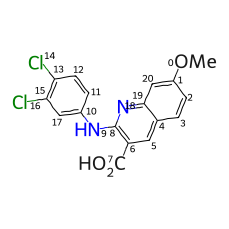 COc1ccc2cc(C(=O)O)c(Nc3ccc(Cl)c(Cl)c3)nc2c1